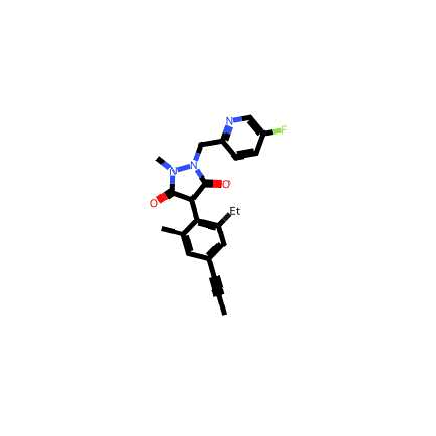 CC#Cc1cc(C)c(C2C(=O)N(C)N(Cc3ccc(F)cn3)C2=O)c(CC)c1